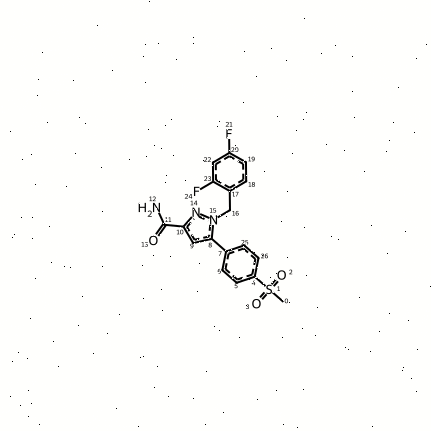 CS(=O)(=O)c1ccc(-c2cc(C(N)=O)nn2Cc2ccc(F)cc2F)cc1